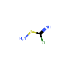 N=C(Cl)SN